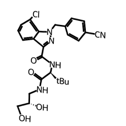 CC(C)(C)[C@H](NC(=O)c1nn(Cc2ccc(C#N)cc2)c2c(Cl)cccc12)C(=O)NC[C@H](O)CO